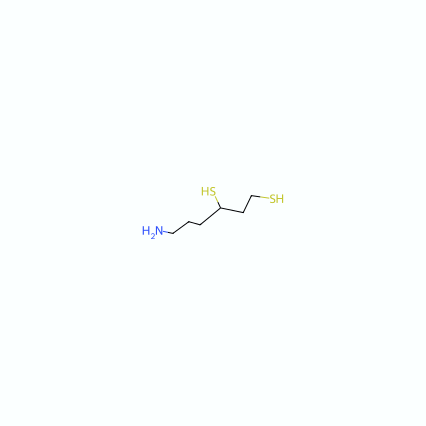 NCCCC(S)CCS